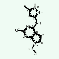 Cc1cc(Nc2nc(Cl)nc3c2ccn3SI)n[nH]1